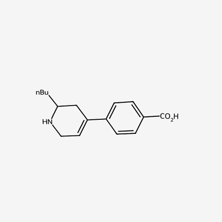 CCCCC1CC(c2ccc(C(=O)O)cc2)=CCN1